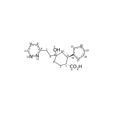 O=C(O)[C@@H]1CCC(O)(CCc2cccnn2)C[C@H]1c1ccccc1